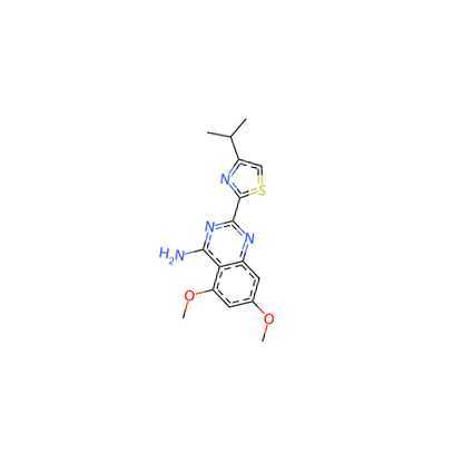 COc1cc(OC)c2c(N)nc(-c3nc(C(C)C)cs3)nc2c1